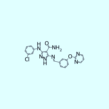 NC(=O)c1c(Nc2cccc(Cl)c2)n[nH]c1/N=C/c1cccc(Oc2ncccn2)c1